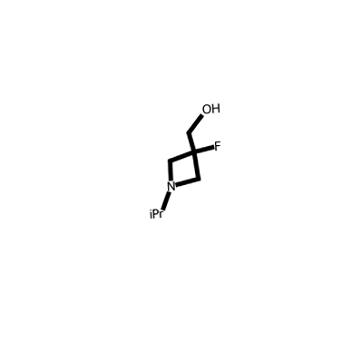 CC(C)N1CC(F)(CO)C1